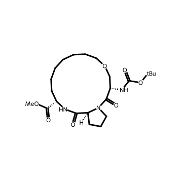 COC(=O)[C@@H]1CCCCCCCOC[C@H](NC(=O)OC(C)(C)C)C(=O)N2CCC[C@H]2C(=O)N1